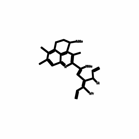 C=C/C(CCC)=C(\C=C(/NC)c1nc2cc(C)c(C)c3c2c(c1C)C(NC)CC3)C(C=C)CC